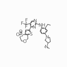 CCc1cc(N2CCC(N(C)C)C2)ccc1Nc1ncc(C(F)(F)F)c(-c2cc3c(s2)COCCS3(=O)=O)n1